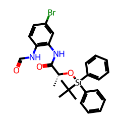 C[C@@H](O[Si](c1ccccc1)(c1ccccc1)C(C)(C)C)C(=O)Nc1cc(Br)ccc1NC=O